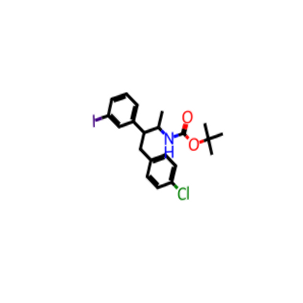 CC(NC(=O)OC(C)(C)C)C(Cc1ccc(Cl)cc1)c1cccc(I)c1